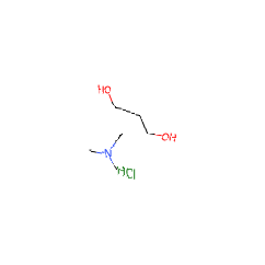 CN(C)C.Cl.OCCCO